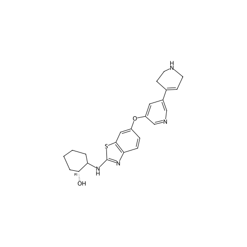 O[C@@H]1CCCCC1Nc1nc2ccc(Oc3cncc(C4=CCNCC4)c3)cc2s1